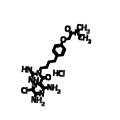 CN(C)C(=O)COc1ccc(CCCCN(C(=N)N)C(=O)c2nc(Cl)c(N)nc2N)cc1.Cl